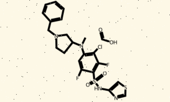 CN(c1cc(F)c(S(=O)(=O)Nc2cscn2)c(F)c1Cl)C1CCN(Cc2ccccc2)C1.O=CO